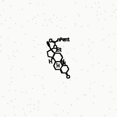 C#CC1(OC(=O)CCCCC)CC[C@H]2[C@@H]3CCC4=CC(=O)CC[C@@H]4[C@H]3CC[C@@]21CC